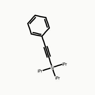 CC(C)[Si](C#Cc1ccccc1)(C(C)C)C(C)C